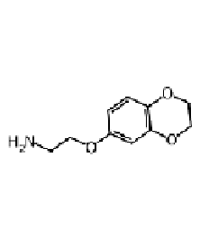 NCCOc1ccc2c(c1)OCCO2